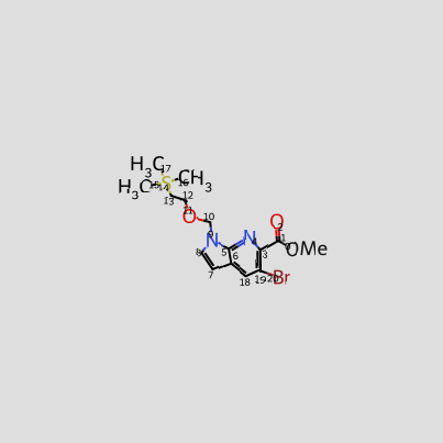 COC(=O)c1nc2c(ccn2COCCS(C)(C)C)cc1Br